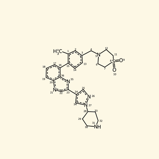 Cc1cc(CN2CCS(=O)(=O)CC2)ccc1-c1cccc2ncc(-c3cnn(C4CCNCC4)c3)nc12